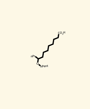 CCCCCOC(CCC)CCCCCCCC(=O)O